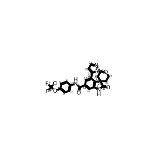 O=C(Nc1ccc(OC(F)(F)Cl)cc1)c1cc2c(c(-c3ccn[nH]3)c1)C1(CCOCC1)C(=O)N2